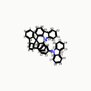 c1ccc2c(c1)-c1cccc(-c3ccc(-n4c5ccccc5c5ccccc54)cc3)c1C21c2ccccc2-n2c3ccccc3c3cccc1c32